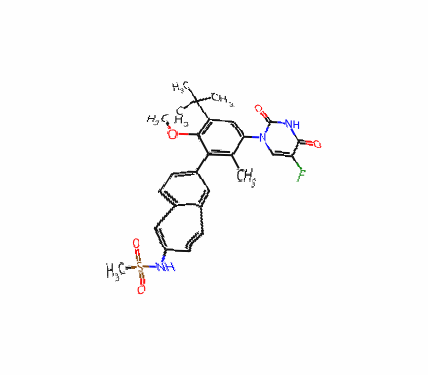 COc1c(C(C)(C)C)cc(-n2cc(F)c(=O)[nH]c2=O)c(C)c1-c1ccc2cc(NS(C)(=O)=O)ccc2c1